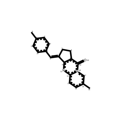 Cc1ccc(C=C2CCc3c2nc2ccc(C)cn2c3=O)cc1